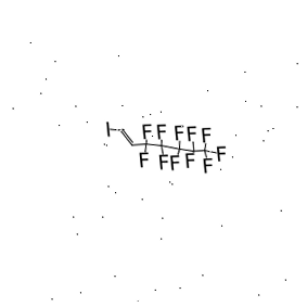 FC(F)(F)C(F)(F)C(F)(F)C(F)(F)C(F)(F)C=CI